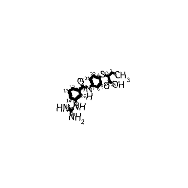 CCC(Sc1ccc(NC(=O)c2cccc(NC(=N)N)c2)cc1)C(=O)O